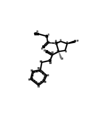 CC(C)(C)OC(=O)N1C[C@@H](F)C[C@@]1(C)C(=O)OCc1ccccc1